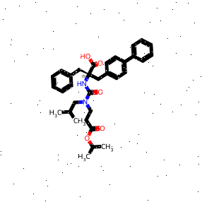 CC(C)CN(CCC(=O)OC(C)C)C(=O)N[C@@](Cc1ccccc1)(Cc1ccc(-c2ccccc2)cc1)C(=O)O